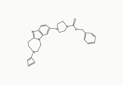 O=C(OCc1ccccc1)N1CCN(c2ccc3nc4n(c3c2)CCN(C2=CC=C2)CC4)CC1